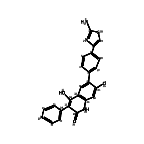 Nc1nc(-c2ccc(-c3cc4c(O)c(-c5ccncc5)c(=O)[nH]c4cc3Cl)cc2)cs1